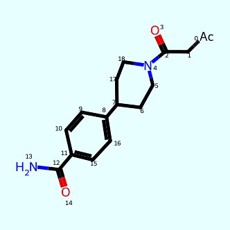 CC(=O)CC(=O)N1CCC(c2ccc(C(N)=O)cc2)CC1